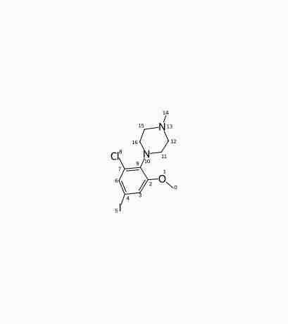 COc1cc(I)cc(Cl)c1N1CCN(C)CC1